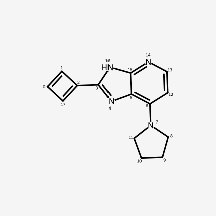 C1=CC(c2nc3c(N4CCCC4)ccnc3[nH]2)=C1